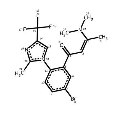 C/C(=C/C(=O)c1cc(Br)ccc1-n1cc(C(F)(F)F)nc1C)N(C)C